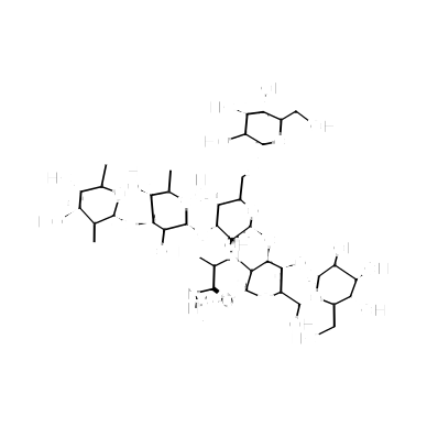 CO[C@H]1OC(CO)[C@H](O[C@H]2OC(CO)[C@@H](O)[C@H](O)C2O)[C@H](O[C@@H]2OC(CO[C@H]3OC(CO)[C@@H](O)[C@H](O)C3O)[C@@H](O)[C@H](O[C@@H]3OC(C)[C@H](O)[C@H](O[C@@H]4OC(C)[C@@H](O)[C@H](O)C4C)C3O)C2O)C1NC(C)C(N)=O